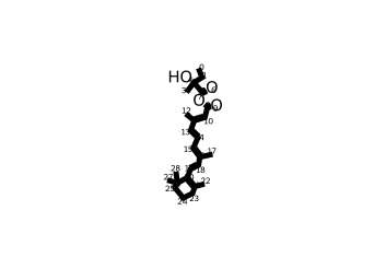 CCC(C)(O)C(=O)OC(=O)C=C(C)C=CC=C(C)C=CC1=C(C)CCCC1(C)C